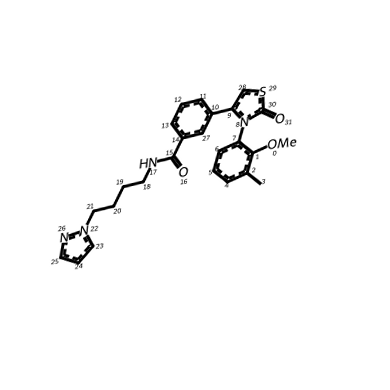 COc1c(C)cccc1-n1c(-c2cccc(C(=O)NCCCCn3cccn3)c2)csc1=O